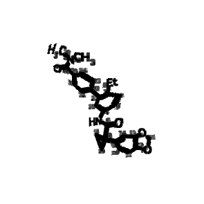 CCc1ccc(NC(=O)C2(c3ccc4c(c3)OCO4)CC2)cc1-c1ccc(C(=O)N(C)C)cc1